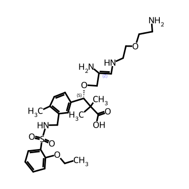 CCOc1ccccc1S(=O)(=O)NCc1cc([C@H](OC/C(N)=C/NCCOCCN)C(C)(C)C(=O)O)ccc1C